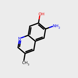 Cc1cnc2cc(O)c(N)cc2c1